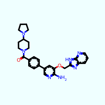 Nc1ncc(-c2ccc(C(=O)N3CCC(N4CCCC4)CC3)cc2)cc1OCc1nc2cccnc2[nH]1